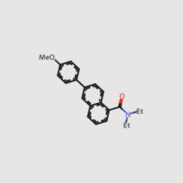 CCN(CC)C(=O)c1cccc2cc(-c3ccc(OC)cc3)ccc12